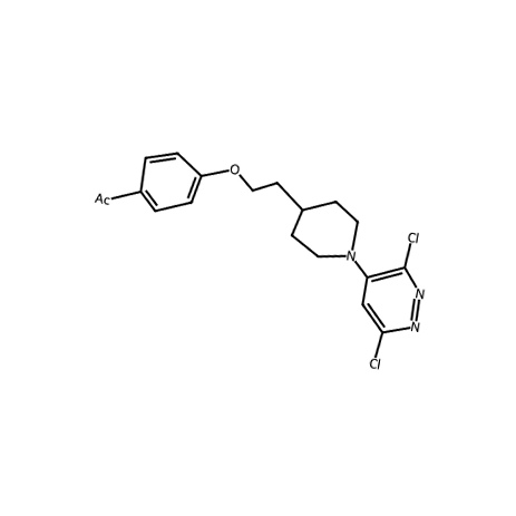 CC(=O)c1ccc(OCCC2CCN(c3cc(Cl)nnc3Cl)CC2)cc1